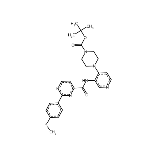 CSc1ccc(-c2nccc(C(=O)Nc3cnccc3N3CCN(C(=O)OC(C)(C)C)CC3)n2)cc1